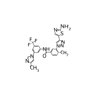 Cc1cn(-c2cc(NC(=O)c3ccc(C)c(-n4cc(-c5cnc(N)s5)nn4)c3)cc(C(F)(F)F)c2)cn1